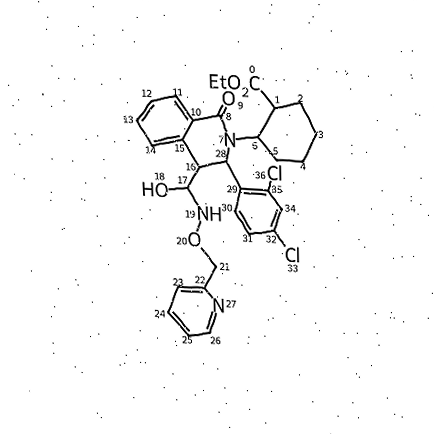 CCOC(=O)C1CCCCC1N1C(=O)c2ccccc2C(C(O)NOCc2ccccn2)C1c1ccc(Cl)cc1Cl